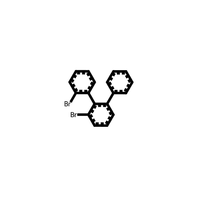 Brc1ccccc1-c1c(Br)cccc1-c1ccccc1